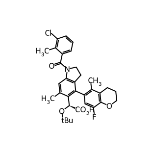 Cc1cc2c(c(-c3cc(F)c4c(c3C)CCCO4)c1[C@H](OC(C)(C)C)C(=O)O)CCN2C(=O)c1cccc(Cl)c1C